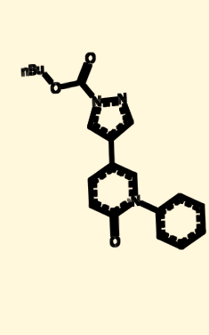 CCCCOC(=O)n1cc(-c2ccc(=O)n(-c3ccccc3)c2)cn1